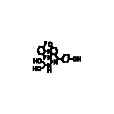 O=c1ccc2c(-c3ccc(O)cc3)nc(NC(CO)CO)nc2n1-c1c(F)cccc1F